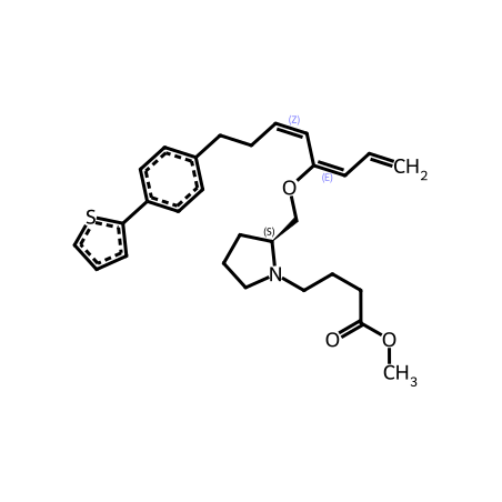 C=C/C=C(\C=C/CCc1ccc(-c2cccs2)cc1)OC[C@@H]1CCCN1CCCC(=O)OC